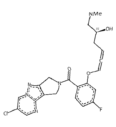 CNC[C@@H](O)CC=C=COc1cc(F)ccc1C(=O)N1Cc2nn3cc(Cl)cnc3c2C1